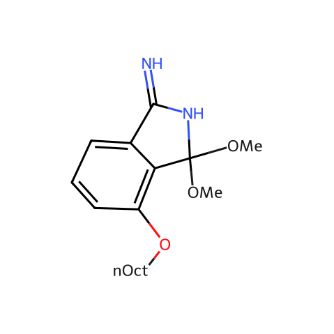 CCCCCCCCOc1cccc2c1C(OC)(OC)NC2=N